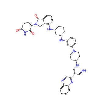 N=C/C(=C\NC1CCN(c2cccc(NC3CCCC(Nc4cccc5c4CN(C4CCC(=O)NC4=O)C5=O)C3)c2)CC1)c1cnc2ccccc2n1